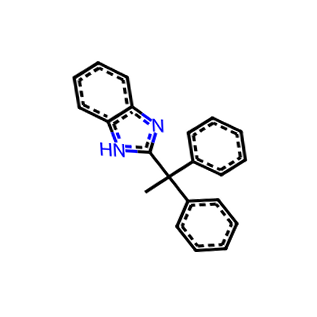 CC(c1ccccc1)(c1ccccc1)c1nc2ccccc2[nH]1